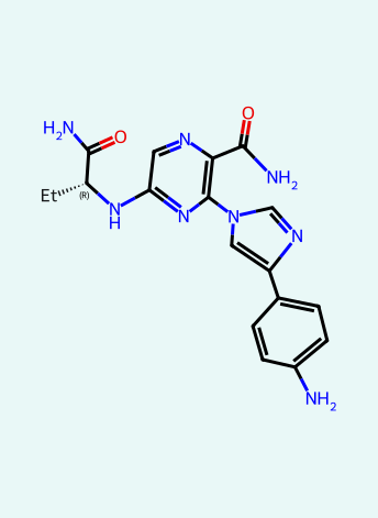 CC[C@@H](Nc1cnc(C(N)=O)c(-n2cnc(-c3ccc(N)cc3)c2)n1)C(N)=O